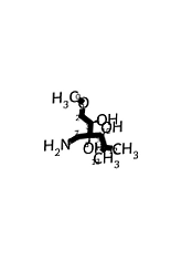 COC[C@H](O)[C@](O)(CN)C(O)C(C)C